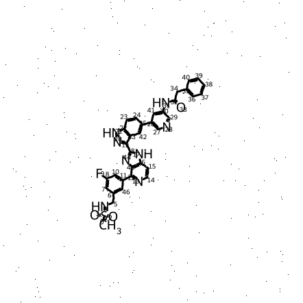 CS(=O)(=O)NCc1cc(F)cc(-c2nccc3[nH]c(-c4n[nH]c5ccc(-c6cncc(NC(=O)Cc7ccccc7)c6)cc45)nc23)c1